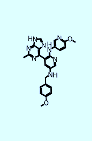 COc1ccc(CNc2cnc(Nc3ccc(OC)nc3)c(-c3nc(C)nc4[nH]cnc34)c2)cc1